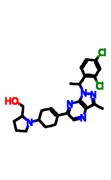 Cc1nn(C(C)c2ccc(Cl)cc2Cl)c2nc(C3=CCC(N4CCCC4CO)CC3)cnc12